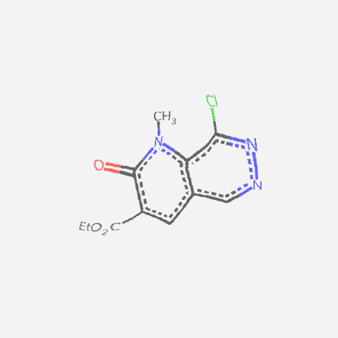 CCOC(=O)c1cc2cnnc(Cl)c2n(C)c1=O